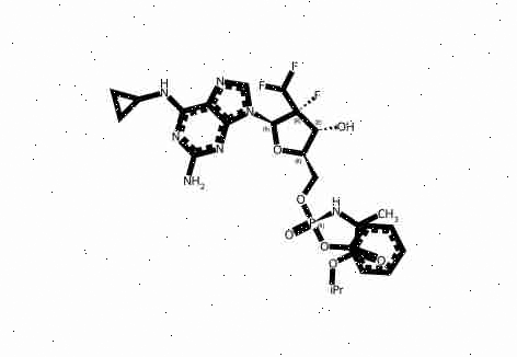 CC(C)OC(=O)C(C)N[P@@](=O)(OC[C@H]1O[C@@H](n2cnc3c(NC4CC4)nc(N)nc32)[C@@](F)(C(F)F)[C@@H]1O)Oc1ccccc1